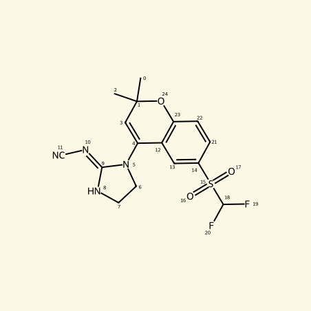 CC1(C)C=C(N2CCNC2=NC#N)c2cc(S(=O)(=O)C(F)F)ccc2O1